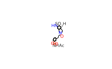 CC(=O)NS(=O)(=O)c1cccc(CCC(=O)N2CCc3ccc(NS(=O)(=O)O)cc3C2)c1